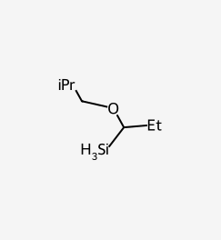 [CH2]CC([SiH3])OCC(C)C